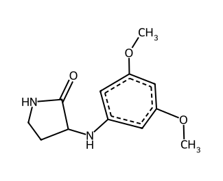 COc1cc(NC2CCNC2=O)cc(OC)c1